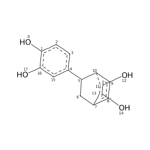 Oc1ccc(C2Cc3[c]cc2c(O)c3O)cc1O